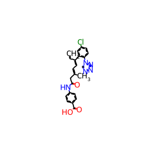 C=C/C(=C\C=C(/C)CC(=O)Nc1ccc(C(=O)O)cc1)c1cc(Cl)ccc1-n1cnnn1